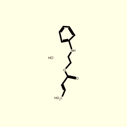 Cl.O=C(O)C=CC(=O)OCCNc1ccccc1